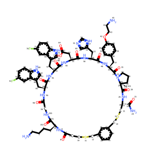 NCCCC[C@@H]1NC(=O)CCSCc2cccc(c2)CSC[C@@H](C(N)=O)NC(=O)[C@@H]2CCCN2C(=O)[C@H](Cc2ccc(OCCN)cc2)NC(=O)[C@H](Cc2cnc[nH]2)NC(=O)[C@H](CC(=O)O)NC(=O)[C@H](Cc2c[nH]c3ccc(F)cc23)NC(=O)[C@H](Cc2c[nH]c3ccc(F)cc23)NC(=O)CNC1=O